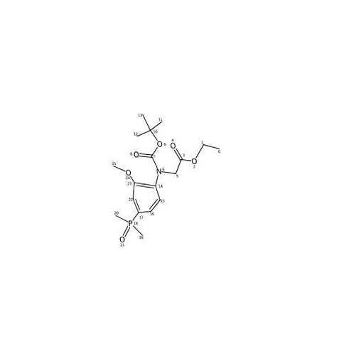 CCOC(=O)CN(C(=O)OC(C)(C)C)c1ccc(P(C)(C)=O)cc1OC